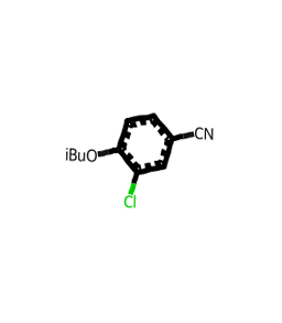 CC(C)COc1ccc(C#N)cc1Cl